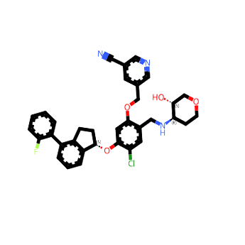 N#Cc1cncc(COc2cc(O[C@H]3CCc4c(-c5ccccc5F)cccc43)c(Cl)cc2CN[C@@H]2CCOC[C@H]2O)c1